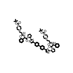 CC(C)(C)OC(=O)N1CCN(CCC(=O)N[C@@H](C(=O)N2CCC[C@H]2c2ncc(-c3ccc(-c4ccc(-c5cnc([C@@H]6CCCN6C(=O)[C@H](NC(=O)CCN6CCN(C(=O)OC(C)(C)C)CC6)c6ccccc6)s5)cc4)cc3)s2)c2ccccc2)CC1